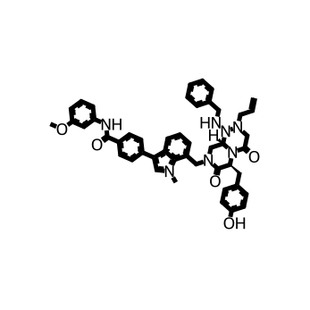 C=CCN1CC(=O)N2[C@@H](Cc3ccc(O)cc3)C(=O)N(Cc3cccc4c(-c5ccc(C(=O)Nc6cccc(OC)c6)cc5)cn(C)c34)C[C@@H]2N1NCc1ccccc1